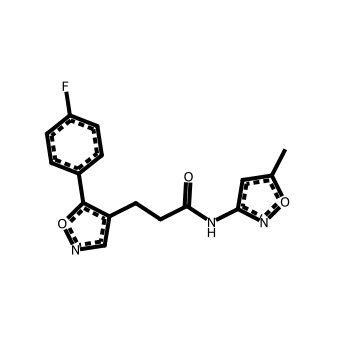 Cc1cc(NC(=O)CCc2cnoc2-c2ccc(F)cc2)no1